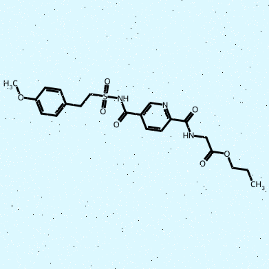 CCCOC(=O)CNC(=O)c1ccc(C(=O)NS(=O)(=O)CCc2ccc(OC)cc2)cn1